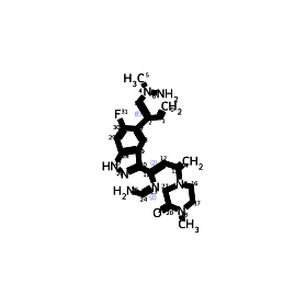 C=C/C(=C\N(C)N)c1cc2c(C(=C/C(=C)N3CCN(C)C(=O)C3)/N=C\N)n[nH]c2cc1F